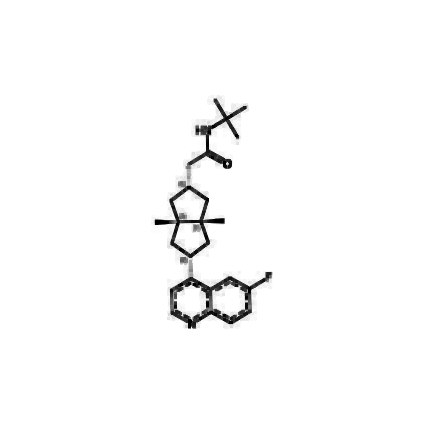 CC(C)(C)NC(=O)C[C@H]1C[C@@]2(C)C[C@@H](c3ccnc4ccc(F)cc34)C[C@@]2(C)C1